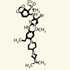 CCc1cc(Nc2ncc(Br)c(Nc3ccc4c(c3P(C)(C)=O)OCO4)n2)c(OC)cc1N1CCC(N2CC(N(C)C)C2)CC1